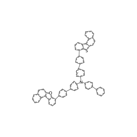 c1ccc(-c2ccc(N(c3ccc(-c4ccc(-c5cccc6c5oc5ccc7ccccc7c56)cc4)cc3)c3ccc(-c4ccc(-c5cccc6c5sc5ccc7ccccc7c56)cc4)cc3)cc2)cc1